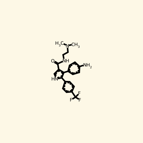 CN(C)CCNC(=O)c1c[nH]c(-c2ccc(C(F)(F)F)cc2)c1-c1ccc(N)cc1